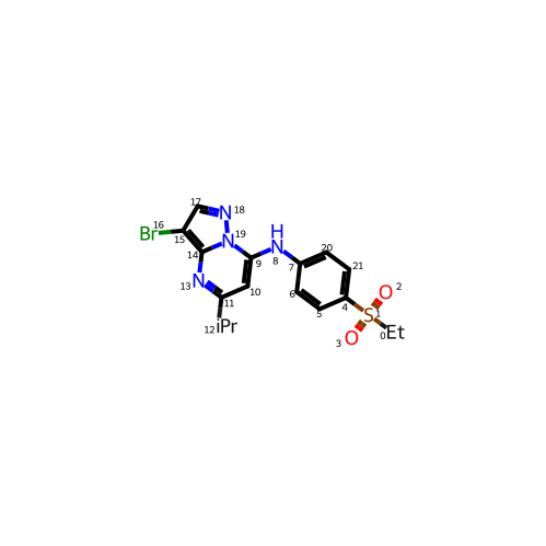 CCS(=O)(=O)c1ccc(Nc2cc(C(C)C)nc3c(Br)cnn23)cc1